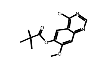 COc1cc2ncnc(Cl)c2cc1OC(=O)C(C)(C)C